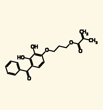 C=C(C)C(=O)OCCCOc1ccc(C(=O)c2ccccc2)c(O)c1O